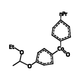 CCCc1cc[c]([Co](=[O])[c]2ccc(OC(C)OCC)cc2)cc1